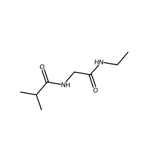 CCNC(=O)CNC(=O)C(C)C